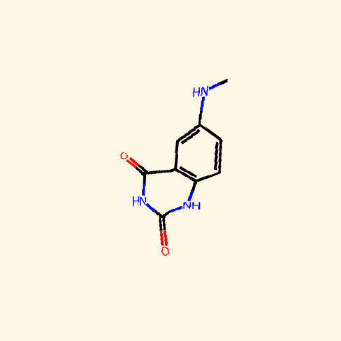 CNc1ccc2[nH]c(=O)[nH]c(=O)c2c1